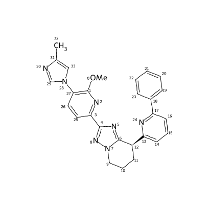 COc1nc(-c2nc3n(n2)CCC[C@@H]3c2cccc(-c3ccccc3)n2)ccc1-n1cnc(C)c1